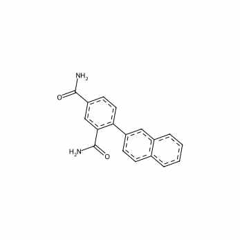 NC(=O)c1ccc(-c2ccc3ccccc3c2)c(C(N)=O)c1